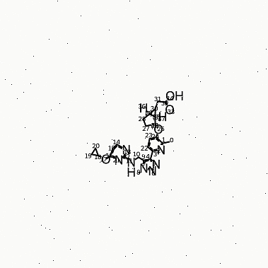 Cc1nc(-c2nnn(C)c2CNc2nccc(OC3CC3)n2)ccc1O[C@@H]1CC[C@H]2C(CC(=O)O)[C@@H]12